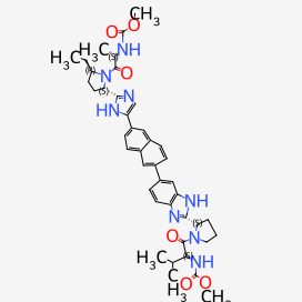 CC[C@@H]1CC[C@@H](c2ncc(-c3ccc4cc(-c5ccc6nc([C@@H]7CCCN7C(=O)[C@@H](NC(=O)OC)C(C)C)[nH]c6c5)ccc4c3)[nH]2)N1C(=O)[C@H](C)NC(=O)OC